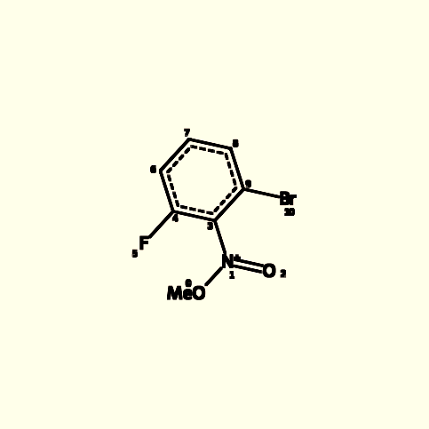 CO[N+](=O)c1c(F)cccc1Br